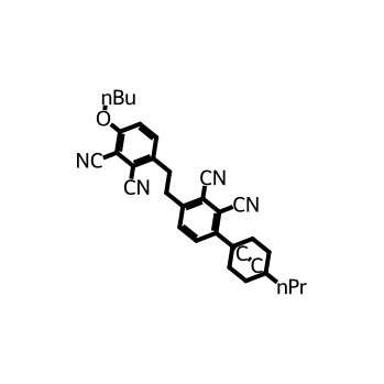 CCCCOc1ccc(CCc2ccc(C34CCC(CCC)(CC3)CC4)c(C#N)c2C#N)c(C#N)c1C#N